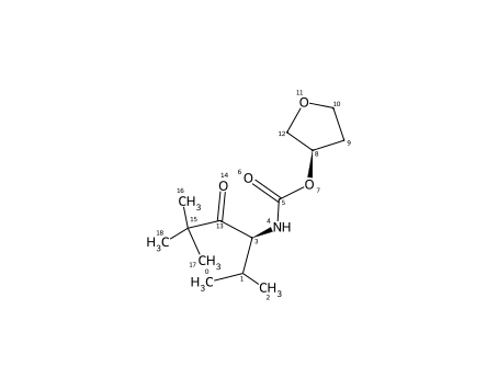 CC(C)[C@H](NC(=O)O[C@@H]1CCOC1)C(=O)C(C)(C)C